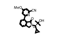 COc1cc(C#N)nc(-c2cccc3c2C(=O)N([C@H](C2CC2)C(C)(C)O)C3)c1